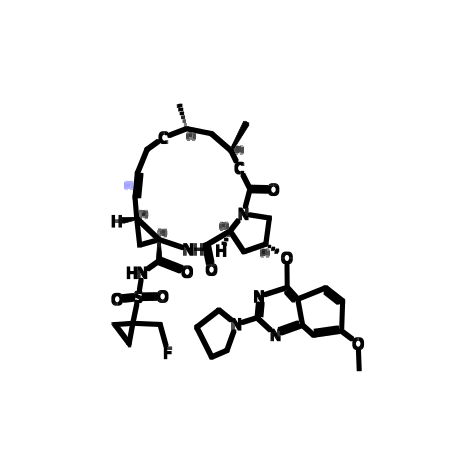 COc1ccc2c(O[C@@H]3C[C@H]4C(=O)N[C@]5(C(=O)NS(=O)(=O)C6(CF)CC6)C[C@@H]5/C=C\CC[C@H](C)C[C@@H](C)CC(=O)N4C3)nc(N3CCCC3)nc2c1